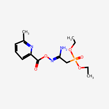 CCOP(=O)(C/C(N)=N/OC(=O)c1cccc(C)n1)OCC